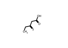 CCC(=S)CC(=O)O